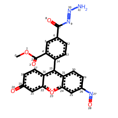 COC(=O)c1cc(C(=O)N=NN)ccc1-c1c2ccc(=O)cc-2oc2cc(N=O)ccc12